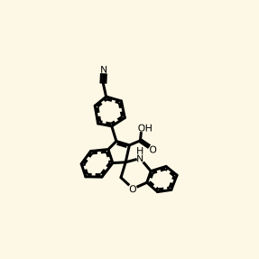 N#Cc1ccc(C2=C(C(=O)O)C3(COc4ccccc4N3)c3ccccc32)cc1